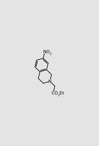 CCOC(=O)CN1CCc2ccc([N+](=O)[O-])cc2C1